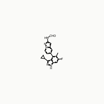 Cc1c(F)cc2[nH]nc(C3CC3)c2c1-c1ccn2nc(NC=O)cc2c1